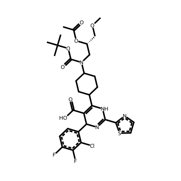 COC[C@H](CN(C(=O)OC(C)(C)C)C1CCC(C2=C(C(=O)O)C(c3ccc(F)c(F)c3Cl)N=C(c3nccs3)N2)CC1)OC(C)=O